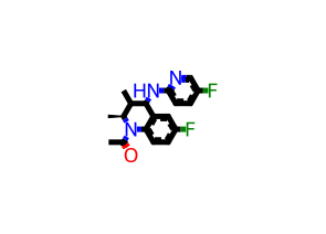 CC(=O)N1c2ccc(F)cc2C(Nc2ccc(F)cn2)C(C)[C@@H]1C